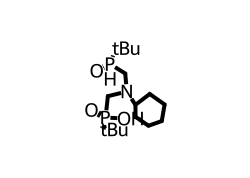 CC(C)(C)[PH](=O)CN(CP(=O)(O)C(C)(C)C)C1CCCCC1